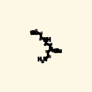 CC(C)(C)CCNCCN(CCN)C(C)(C)C